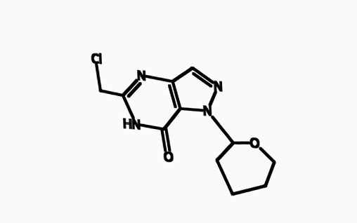 O=c1[nH]c(CCl)nc2cnn(C3CCCCO3)c12